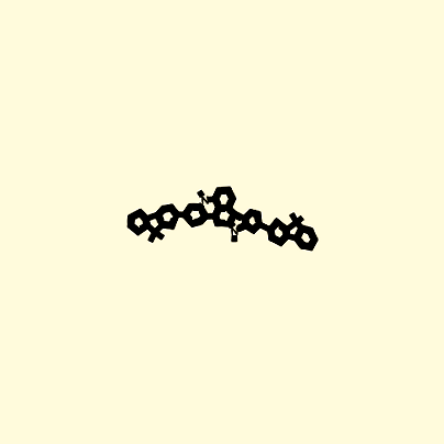 CN1c2cc(-c3ccc4c(c3)C(C)(C)c3ccccc3-4)ccc2-c2cc3c(c4cccc1c24)c1ccc(-c2ccc4c(c2)C(C)(C)c2ccccc2-4)cc1n3C